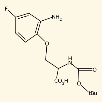 CC(C)(C)OC(=O)NC(COc1ccc(F)cc1N)C(=O)O